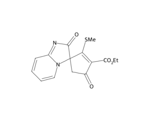 CCOC(=O)C1=C(SC)C2(CC1=O)C(=O)N=C1C=CC=CN12